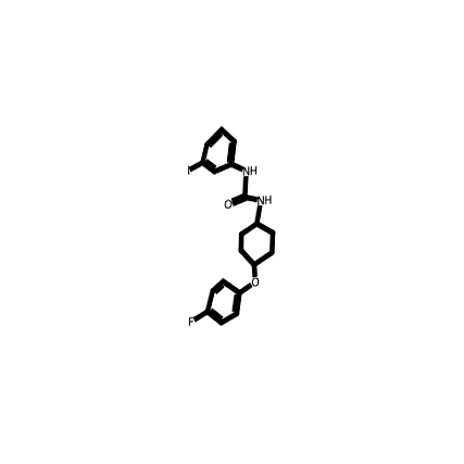 O=C(Nc1cccc(I)c1)NC1CCC(Oc2ccc(F)cc2)CC1